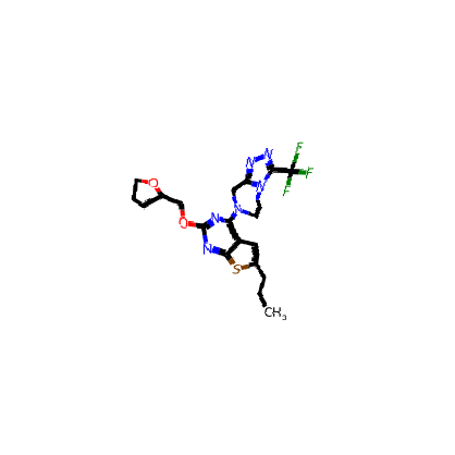 CCCc1cc2c(N3CCn4c(nnc4C(F)(F)F)C3)nc(OCC3CCCO3)nc2s1